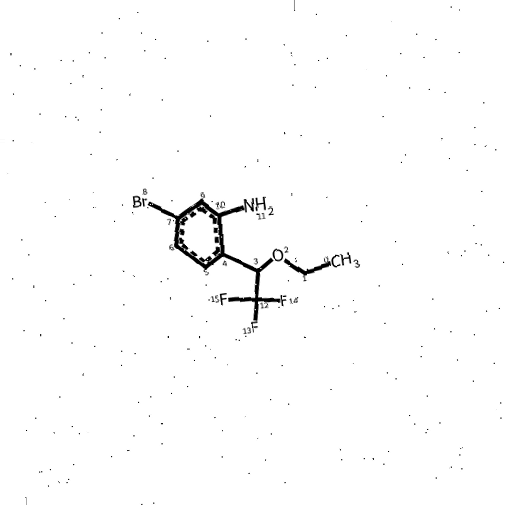 CCOC(c1ccc(Br)cc1N)C(F)(F)F